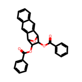 O=C(OC1C2OC(c3cc4ccccc4cc32)C1OC(=O)c1ccccc1)c1ccccc1